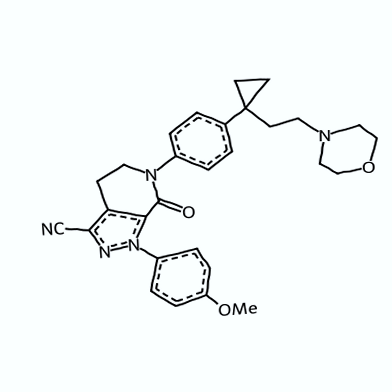 COc1ccc(-n2nc(C#N)c3c2C(=O)N(c2ccc(C4(CCN5CCOCC5)CC4)cc2)CC3)cc1